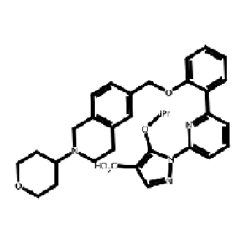 CC(C)Oc1c(C(=O)O)cnn1-c1cccc(-c2ccccc2OCc2ccc3c(c2)CCN(C2CCOCC2)C3)n1